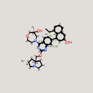 CCc1cccc2cc(O)cc(-c3c(F)cc4c(N5CCOC[C@@](C)(O)C5)nc(OC[C@@]56CCCN5C[C@H](F)C6)nc4c3F)c12